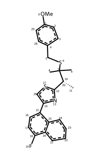 COc1ccc(CSC(C)(C)[C@H](C)c2nc(-c3ccc(F)c4ccccc34)cs2)cc1